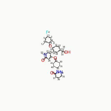 Cc1cc(F)cc(C)c1Oc1ccc(C(C)(C)O)cc1-c1cn(C)c(=O)cc1O[C@H]1CC[C@H](n2ncccc2=O)CC1